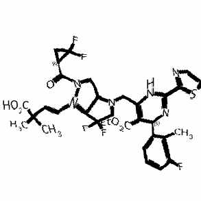 CCOC(=O)C1=C(CN2CC(F)(F)C3C2CN(C(=O)[C@H]2CC2(F)F)N3CCC(C)(C)C(=O)O)NC(c2nccs2)=N[C@H]1c1cccc(F)c1C